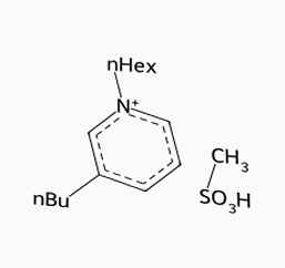 CCCCCC[n+]1cccc(CCCC)c1.CS(=O)(=O)O